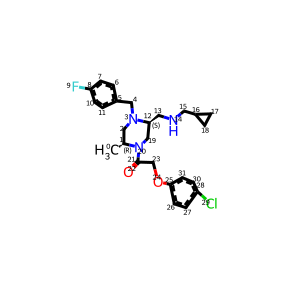 C[C@@H]1CN(Cc2ccc(F)cc2)[C@@H](CNCC2CC2)CN1C(=O)COc1ccc(Cl)cc1